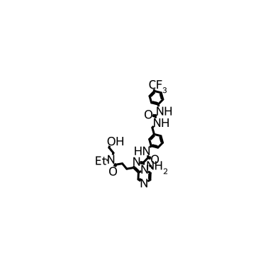 CCN(CCO)C(=O)CCC1=C2C=NC=C[N+]2(N)C(C(=O)Nc2cccc(CNC(=O)Nc3ccc(C(F)(F)F)cc3)c2)=N1